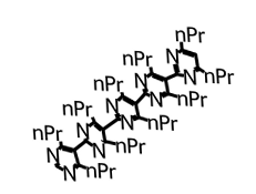 CCCc1cc(CCC)nc(-c2c(CCC)nc(-c3c(CCC)nc(-c4c(CCC)nc(-c5c(CCC)ncnc5CCC)nc4CCC)nc3CCC)nc2CCC)n1